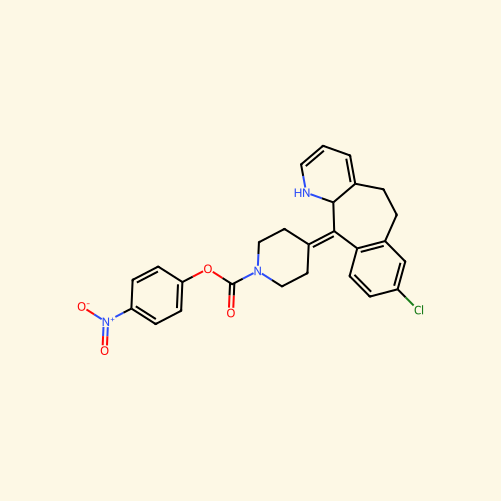 O=C(Oc1ccc([N+](=O)[O-])cc1)N1CCC(=C2c3ccc(Cl)cc3CCC3=CC=CNC32)CC1